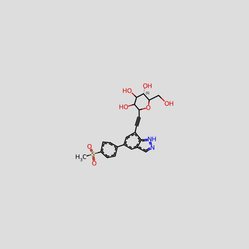 CS(=O)(=O)c1ccc(-c2cc(C#CC3OC(CO)[C@@H](O)C(O)C3O)c3[nH]ncc3c2)cc1